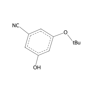 CC(C)(C)Oc1cc(O)cc(C#N)c1